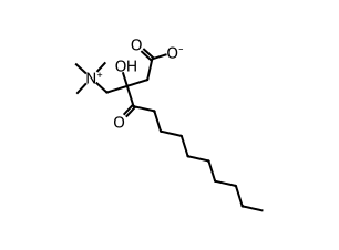 CCCCCCCCCC(=O)C(O)(CC(=O)[O-])C[N+](C)(C)C